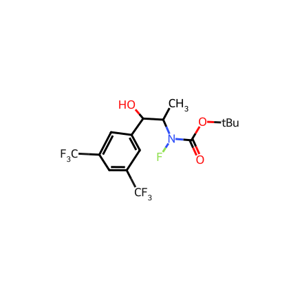 CC(C(O)c1cc(C(F)(F)F)cc(C(F)(F)F)c1)N(F)C(=O)OC(C)(C)C